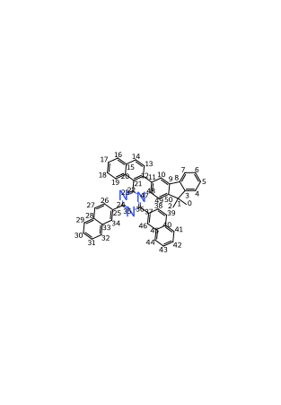 CC1(C)c2ccccc2-c2cc(-c3ccc4ccccc4c3-c3nc(-c4ccc5ccccc5c4)nc(-c4ccc5ccccc5c4)n3)ccc21